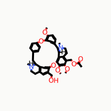 COc1ccc2cc1Oc1ccc(cc1)C[C@H]1c3cc(c(CO)cc3CCN1C)Oc1c(OC)c(OC)c(COC(C)=O)c3c1[C@H](C2)N(C)CC3